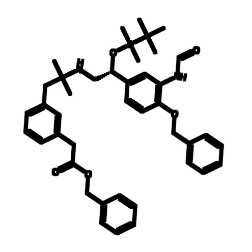 CC(C)(Cc1cccc(CC(=O)OCc2ccccc2)c1)NC[C@H](O[Si](C)(C)C(C)(C)C)c1ccc(OCc2ccccc2)c(NC=O)c1